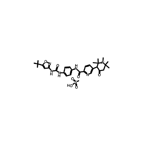 CN1C(C)(C)CC(=O)C(c2ccc(C(=O)Nc3ccc(NC(=O)Nc4cc(C(C)(C)C)on4)cc3)nc2)C1(C)C.CS(=O)(=O)O